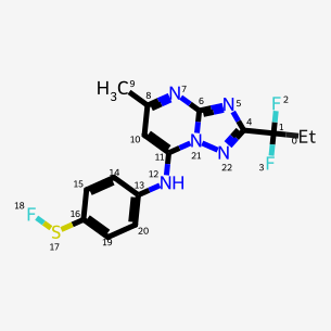 CCC(F)(F)c1nc2nc(C)cc(Nc3ccc(SF)cc3)n2n1